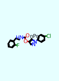 CCCc1c(OC(=O)NCCc2ccccc2F)cnn1-c1ccc(Cl)cc1